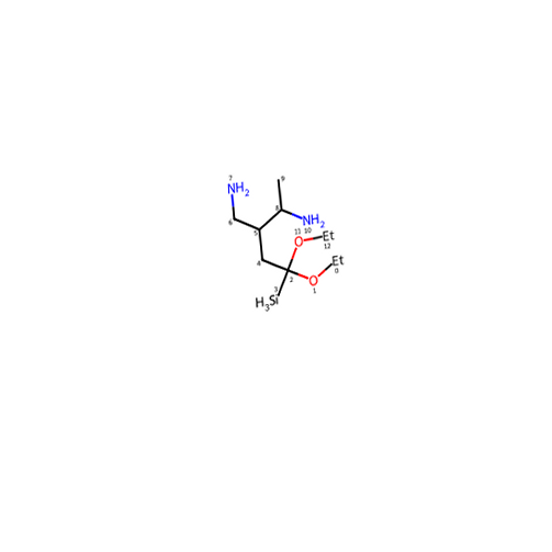 CCOC([SiH3])(CC(CN)C(C)N)OCC